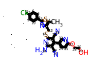 Cc1sc(-c2ccc(Cl)cc2)nc1CSc1nc(N)c(C#N)c(-c2ccc(OCCO)nc2)c1C#N